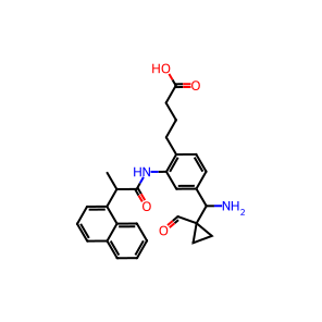 CC(C(=O)Nc1cc(C(N)C2(C=O)CC2)ccc1CCCC(=O)O)c1cccc2ccccc12